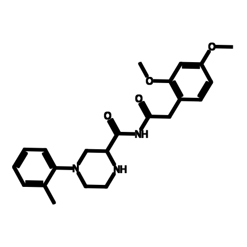 COc1ccc(CC(=O)NC(=O)C2CN(c3ccccc3C)CCN2)c(OC)c1